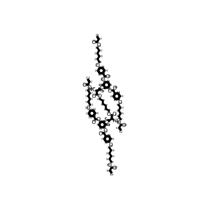 [C-]#[N+]C(C(=O)OCCCCCCOC(=O)C(C#N)=C1Sc2c(OC(=O)c3ccc(OCCCCCCOC(=O)C=C)cc3)ccc(OC(=O)c3ccc(OCCCCCCOC(=O)C=C)cc3)c2S1)C1Sc2c(OC(=O)c3ccc(OCCCCCCOC(=O)C=C)cc3)ccc(OC(=O)c3ccc(OCCCCCCOC(=O)C=C)cc3)c2S1